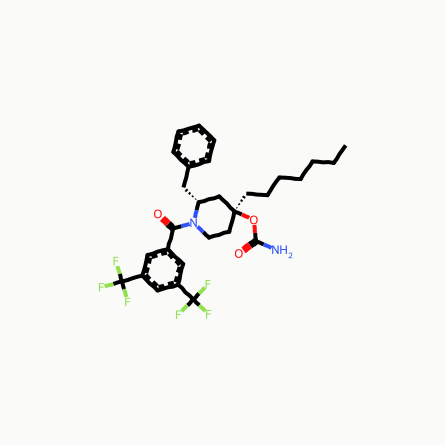 CCCCCCC[C@]1(OC(N)=O)CCN(C(=O)c2cc(C(F)(F)F)cc(C(F)(F)F)c2)[C@H](Cc2ccccc2)C1